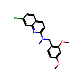 COc1ccc(CN(C)c2ccc3ccc(Br)cc3n2)c(OC)c1